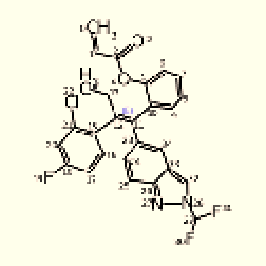 C=CC(=O)Oc1ccccc1/C(=C(\CC)c1ccc(F)cc1Cl)c1ccc2nn(C(F)F)cc2c1